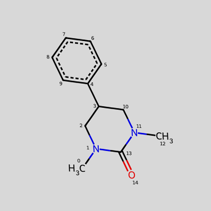 CN1CC(c2ccccc2)CN(C)C1=O